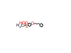 CCC(Sc1ccc(OCCCCc2ccccc2)cc1)C(=O)O